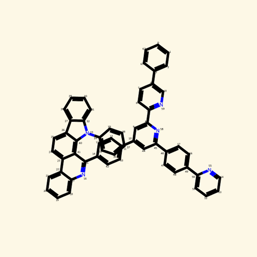 c1ccc(-c2ccc(-c3cc(-c4ccc(-c5nc6ccccc6c6ccc7c8ccccc8n(-c8ccccc8)c7c56)cc4)cc(-c4ccc(-c5ccccn5)cc4)n3)nc2)cc1